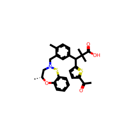 CC(=O)c1ccc(C(c2ccc(C)c(CN3C[C@@H](C)Oc4ccccc4S3)c2)C(C)(C)C(=O)O)s1